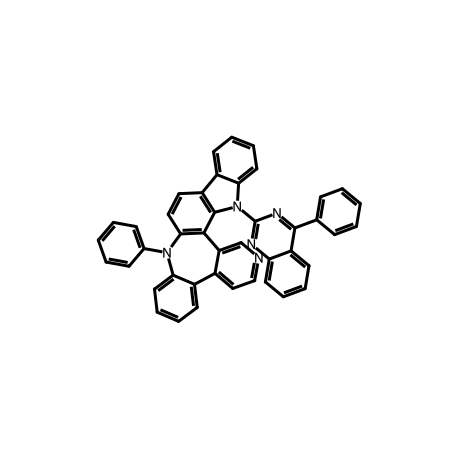 c1ccc(-c2nc(-n3c4ccccc4c4ccc5c(c43)-c3cnccc3-c3ccccc3N5c3ccccc3)nc3ccccc23)cc1